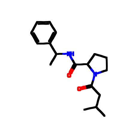 CC(C)CC(=O)N1CCCC1C(=O)NC(C)c1ccccc1